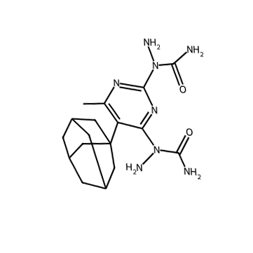 Cc1nc(N(N)C(N)=O)nc(N(N)C(N)=O)c1C12CC3CC(CC(C3)C1)C2